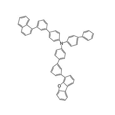 c1ccc(-c2ccc(N(c3ccc(-c4cccc(-c5cccc6ccccc56)c4)cc3)c3ccc(-c4cccc(-c5cccc6c5oc5ccccc56)c4)cc3)cc2)cc1